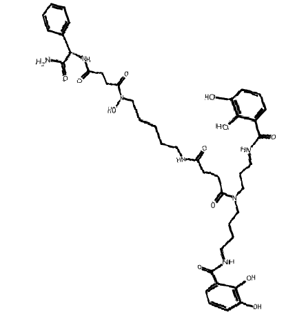 NC(=O)[C@H](NC(=O)CCC(=O)N(O)CCCCCNC(=O)CCC(=O)N(CCCCNC(=O)c1cccc(O)c1O)CCCNC(=O)c1cccc(O)c1O)c1ccccc1